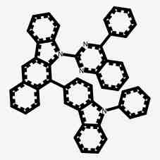 c1ccc(-c2nc(-n3c4ccccc4c4cc5ccccc5c(-c5ccc6c(c5)c5ccccc5n6-c5ccccc5)c43)nc3ccccc23)cc1